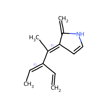 C=CC(=C\C)/C(C)=c1\cc[nH]c1=C